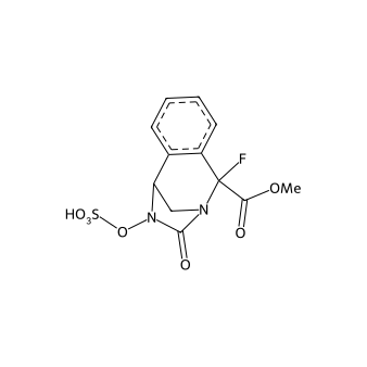 COC(=O)C1(F)c2ccccc2C2CN1C(=O)N2OS(=O)(=O)O